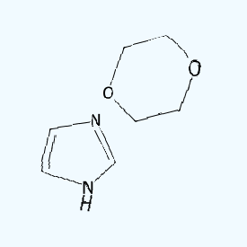 C1COCCO1.c1c[nH]cn1